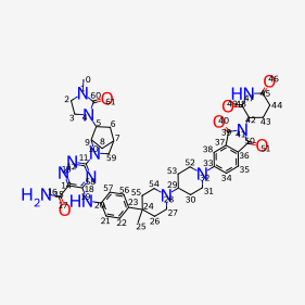 CN1CCN(C2CC3CC2N(c2nnc(C(N)=O)c(Nc4ccc(C5(C)CCN(C6CCN(c7ccc8c(c7)C(=O)N(C7CCC(=O)NC7=O)C8=O)CC6)CC5)cc4)n2)C3)C1=O